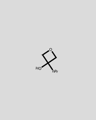 CCCC1(O)[CH]OC1